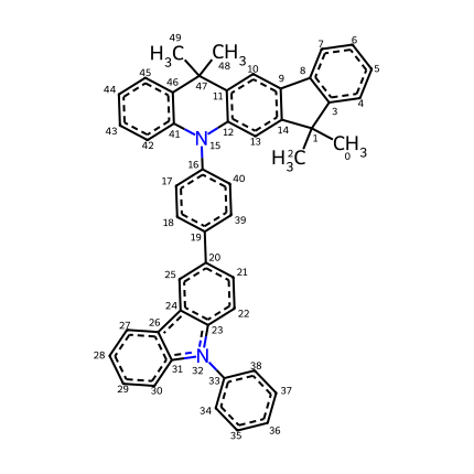 CC1(C)c2ccccc2-c2cc3c(cc21)N(c1ccc(-c2ccc4c(c2)c2ccccc2n4-c2ccccc2)cc1)c1ccccc1C3(C)C